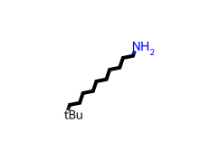 CC(C)(C)CCCCCCCCCCN